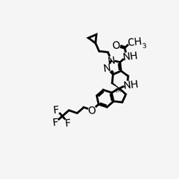 CC(=O)Nc1c2c(nn1CCC1CC1)C[C@]1(CCc3cc(OCCCC(F)(F)F)ccc31)NC2